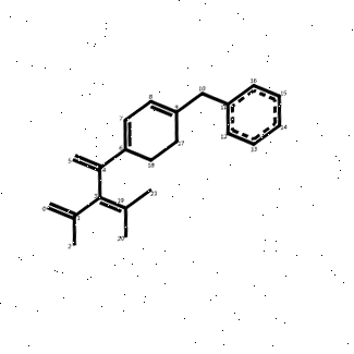 C=C(C)C(C(=C)C1=CC=C(Cc2ccccc2)CC1)=C(C)C